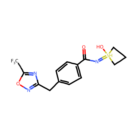 O=C(N=[SH]1(O)CCC1)c1ccc(Cc2noc(C(F)(F)F)n2)cc1